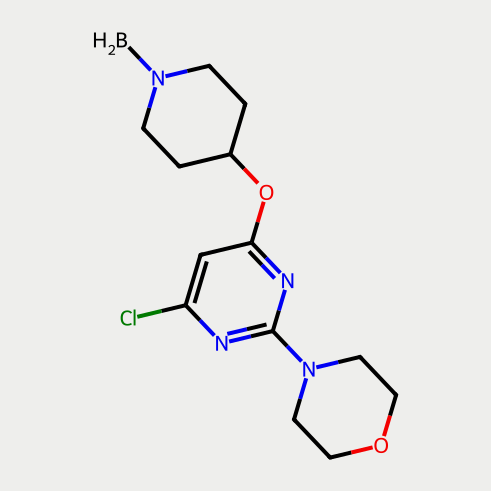 BN1CCC(Oc2cc(Cl)nc(N3CCOCC3)n2)CC1